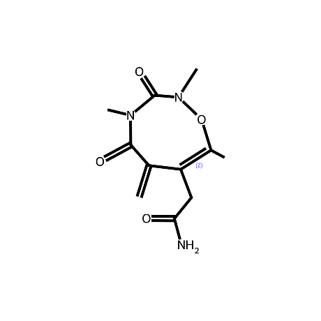 C=C1C(=O)N(C)C(=O)N(C)O/C(C)=C\1CC(N)=O